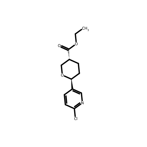 CCOC(=O)[C@@H]1CC[C@@H](c2ccc(Cl)nc2)OC1